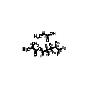 C=C(C)C(=O)OC(F)C(F)(F)C(F)(F)C(F)C(F)F.C=CC(=O)O